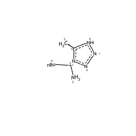 CCCCCN.Cc1nnn[nH]1